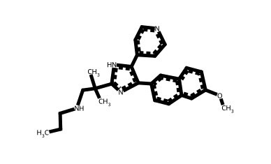 CCCNCC(C)(C)c1nc(-c2ccc3cc(OC)ccc3c2)c(-c2ccncc2)[nH]1